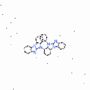 c1ccc(-n2c3c(-n4c5ccccc5n5c6ccccc6nc45)cccc3n3c4ccccc4nc23)cc1